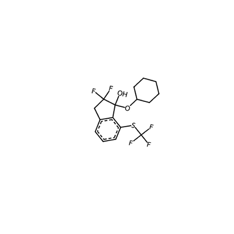 OC1(OC2CCCCC2)c2c(cccc2SC(F)(F)F)CC1(F)F